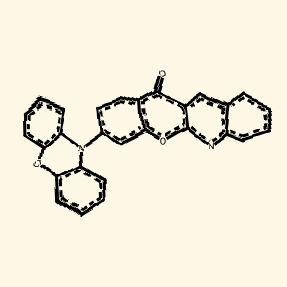 O=c1c2ccc(N3c4ccccc4Oc4ccccc43)cc2oc2nc3ccccc3cc12